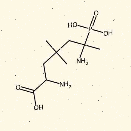 CC(C)(CC(N)C(=O)O)CC(C)(N)P(=O)(O)O